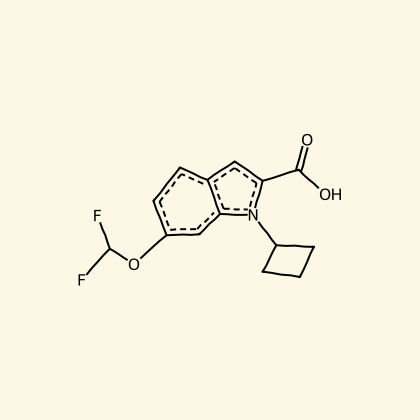 O=C(O)c1cc2ccc(OC(F)F)cc2n1C1CCC1